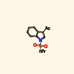 CCCS(=O)(=O)n1cc(C(C)=O)c2ccccc21